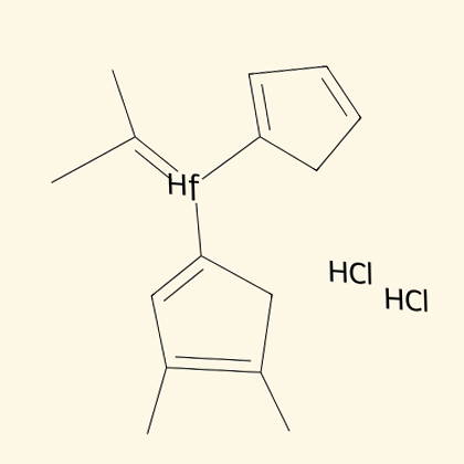 CC1=C(C)C[C]([Hf]([C]2=CC=CC2)=[C](C)C)=C1.Cl.Cl